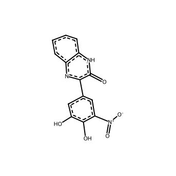 O=c1[nH]c2ccccc2nc1-c1cc(O)c(O)c([N+](=O)[O-])c1